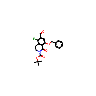 CC(C)(C)OC(=O)N1CCc2c(F)c(C=O)cc(OCc3ccccc3)c2C1=O